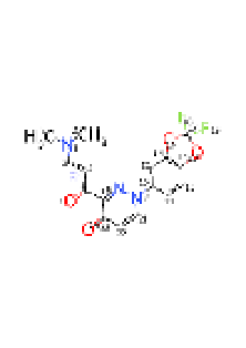 CN(C)/C=C/C(=O)c1nn(-c2ccc3c(c2)OC(F)(F)O3)ccc1=O